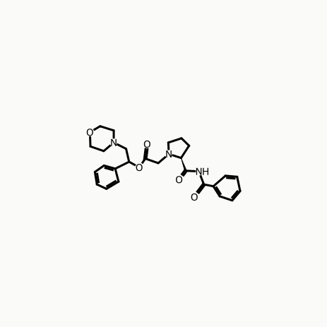 O=C(CN1CCC[C@H]1C(=O)NC(=O)c1ccccc1)OC(CN1CCOCC1)c1ccccc1